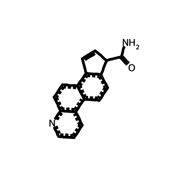 NC(=O)C1C=Cc2c1ccc1c2ccc2ncccc21